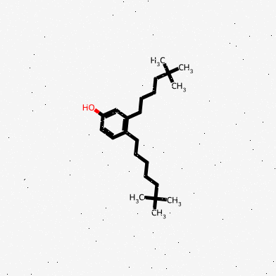 CC(C)(C)CCCCCc1ccc(O)cc1CCCCC(C)(C)C